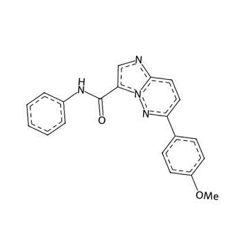 COc1ccc(-c2ccc3ncc(C(=O)Nc4ccccc4)n3n2)cc1